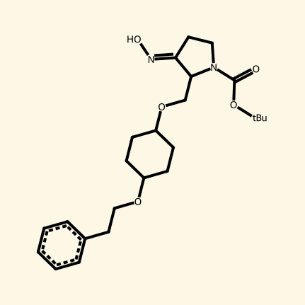 CC(C)(C)OC(=O)N1CCC(=NO)C1COC1CCC(OCCc2ccccc2)CC1